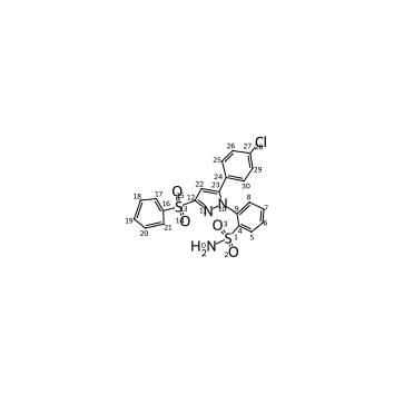 NS(=O)(=O)c1ccccc1-n1nc(S(=O)(=O)c2ccccc2)cc1-c1ccc(Cl)cc1